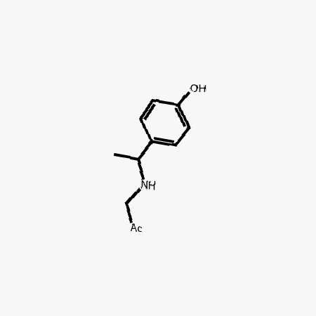 CC(=O)CNC(C)c1ccc(O)cc1